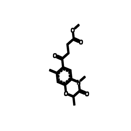 COC(=O)CCC(=O)c1cc2c(cc1C)OC(C)C(=O)N2C